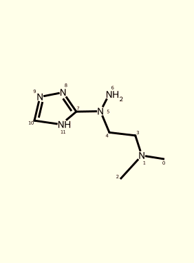 CN(C)CCN(N)c1nnc[nH]1